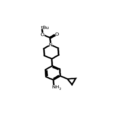 CC(C)(C)OC(=O)N1CCC(c2ccc(N)c(C3CC3)c2)CC1